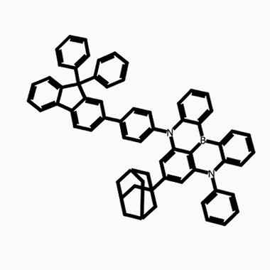 c1ccc(N2c3ccccc3B3c4ccccc4N(c4ccc(-c5ccc6c(c5)C(c5ccccc5)(c5ccccc5)c5ccccc5-6)cc4)c4cc(C56CC7CC(CC(C7)C5)C6)cc2c43)cc1